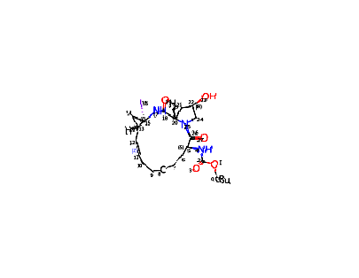 CC(C)(C)OC(=O)N[C@H]1CCCCC/C=C\[C@@H]2C[C@@]2(I)NC(=O)[C@@H]2C[C@@H](O)CN2C1=O